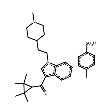 CN1CCC(CCn2cc(C(=O)C3C(C)(C)C3(C)C)c3ccccc32)CC1.Cc1ccc(S(=O)(=O)O)cc1